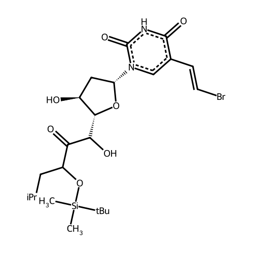 CC(C)CC(O[Si](C)(C)C(C)(C)C)C(=O)C(O)[C@H]1O[C@@H](n2cc(/C=C/Br)c(=O)[nH]c2=O)C[C@@H]1O